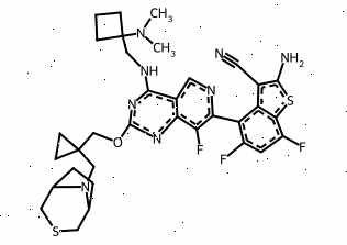 CN(C)C1(CNc2nc(OCC3(CN4C5CCC4CSC5)CC3)nc3c(F)c(-c4c(F)cc(F)c5sc(N)c(C#N)c45)ncc23)CCC1